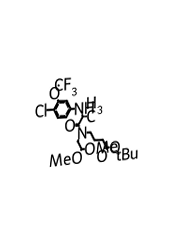 COC(CN(CCCC(=O)OC(C)(C)C)C(=O)[C@H](C)Nc1ccc(Cl)c(OC(F)(F)F)c1)OC